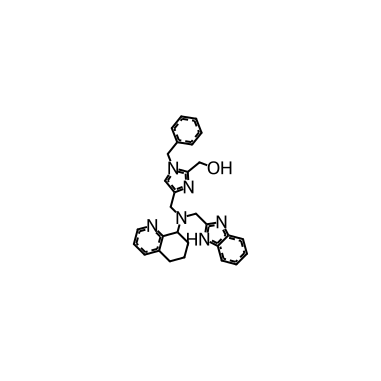 OCc1nc(CN(Cc2nc3ccccc3[nH]2)C2CCCc3cccnc32)cn1Cc1ccccc1